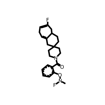 CN(F)Oc1ccccc1C(=O)N1CCC2(CCC3CC(F)=CCC=C3C2)CC1